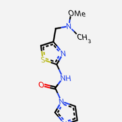 CON(C)Cc1csc(NC(=O)n2ccnc2)n1